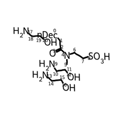 CCCCCCCCCCCC(=O)N(C)CCS(=O)(=O)O.NCCO.NCCO.NCCO